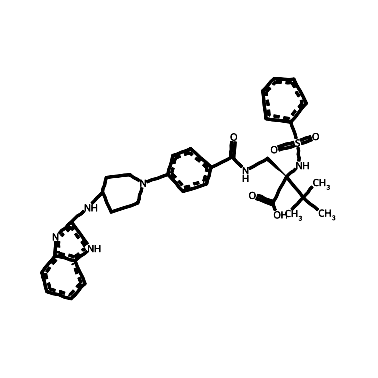 CC(C)(C)[C@@](CNC(=O)c1ccc(N2CCC(Nc3nc4ccccc4[nH]3)CC2)cc1)(NS(=O)(=O)c1ccccc1)C(=O)O